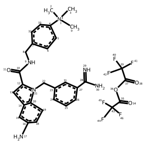 C[N+](C)(C)c1ccc(CNC(=O)c2cc3cc(N)ccc3n2Cc2cccc(C(=N)N)c2)cc1.O=C(OC(=O)C(F)(F)F)C(F)(F)F